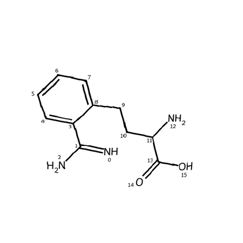 N=C(N)c1ccccc1CCC(N)C(=O)O